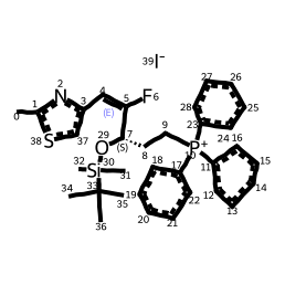 Cc1nc(/C=C(/F)[C@H](CC[P+](c2ccccc2)(c2ccccc2)c2ccccc2)O[Si](C)(C)C(C)(C)C)cs1.[I-]